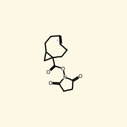 O=C1CCC(=O)N1OC(=O)C12CC/C=C/CCC1C2